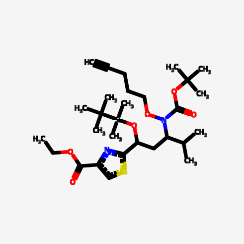 C#CCCCON(C(=O)OC(C)(C)C)C(CC(O[Si](C)(C)C(C)(C)C)c1nc(C(=O)OCC)cs1)C(C)C